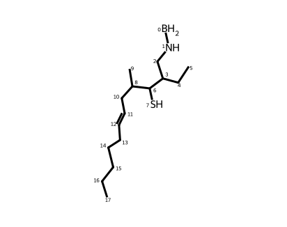 BNCC(CC)C(S)C(C)C/C=C/CCCCC